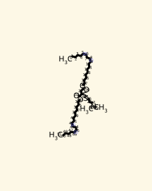 CCCCC/C=C\C/C=C\CCCCCCCCOC(=O)CC(SSCCCN(C)C)C(=O)OCCCCCCCC/C=C\C/C=C\CCCCC